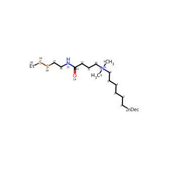 CCCCCCCCCCCCCCCC[N+](C)(C)CCCC(=O)NCCSSCC